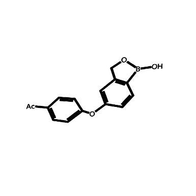 CC(=O)c1ccc(Oc2ccc3c(c2)COB3O)cc1